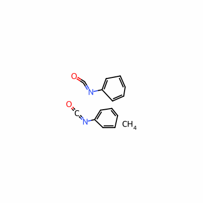 C.O=C=Nc1ccccc1.O=C=Nc1ccccc1